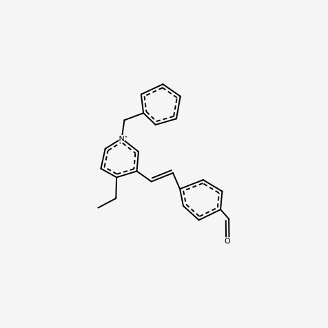 CCc1cc[n+](Cc2ccccc2)cc1C=Cc1ccc(C=O)cc1